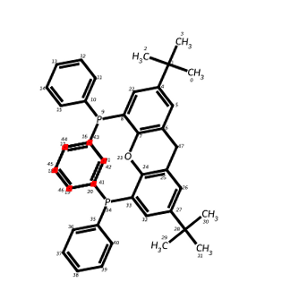 CC(C)(C)c1cc2c(c(P(c3ccccc3)c3ccccc3)c1)Oc1c(cc(C(C)(C)C)cc1P(c1ccccc1)c1ccccc1)C2